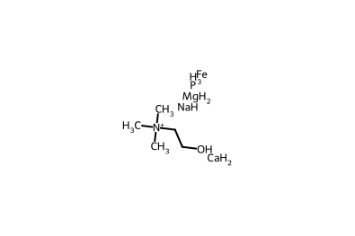 C[N+](C)(C)CCO.P.[CaH2].[Fe].[MgH2].[NaH]